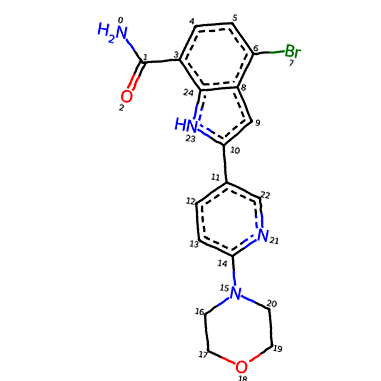 NC(=O)c1ccc(Br)c2cc(-c3ccc(N4CCOCC4)nc3)[nH]c12